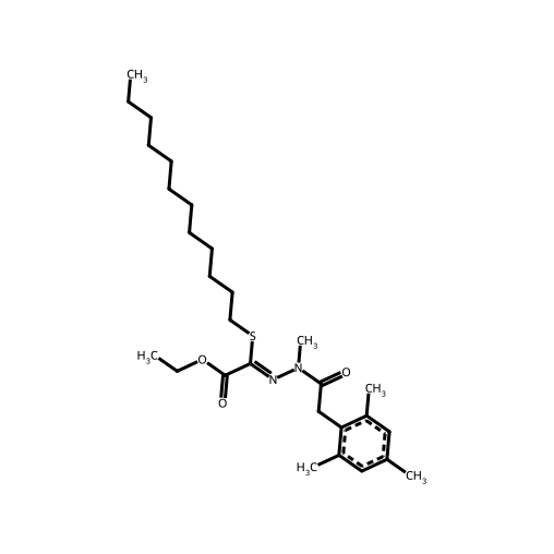 CCCCCCCCCCCCSC(=NN(C)C(=O)Cc1c(C)cc(C)cc1C)C(=O)OCC